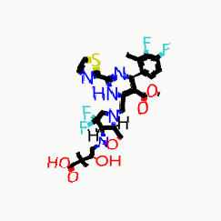 COC(=O)C1=C(CN2CC(F)(F)[C@H]3[C@@H]2CON3C[C@H](O)C(C)(C)C(=O)O)NC(c2nccs2)=N[C@H]1c1ccc(F)c(F)c1C